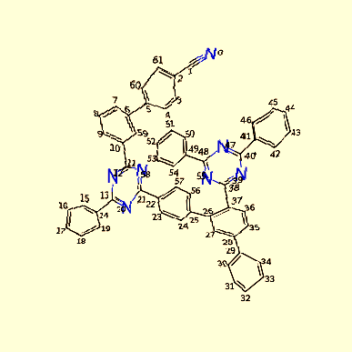 N#Cc1ccc(-c2cccc(-c3nc(-c4ccccc4)nc(-c4ccc(-c5cc(-c6ccccc6)ccc5-c5nc(-c6ccccc6)nc(-c6ccccc6)n5)cc4)n3)c2)cc1